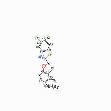 CC(=O)Nc1ccc(OCc2nc3cc(F)c(F)cc3s2)c(C)c1C